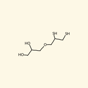 OCC(O)COCC(S)CS